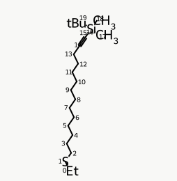 CCSCCCCCCCCCCCCC#C[Si](C)(C)C(C)(C)C